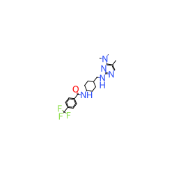 Cc1cnc(NCC2CCC(NC(=O)c3ccc(C(F)(F)F)cc3)CC2)nc1N(C)C